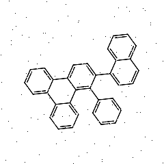 c1ccc(-c2c(-c3cccc4ccccc34)ccc3c4ccccc4c4ccccc4c23)cc1